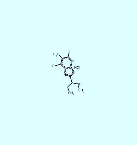 CCC(NC)c1cc2nc(Cl)c(C)c(Cl)n2n1.Cl